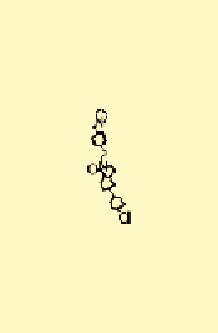 O=c1c2ccc(-c3ccc(Cl)cc3)cc2ccn1CCc1ccc(CN2CCCC2)cc1